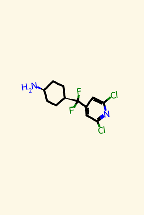 N[C@H]1CC[C@@H](C(F)(F)c2cc(Cl)nc(Cl)c2)CC1